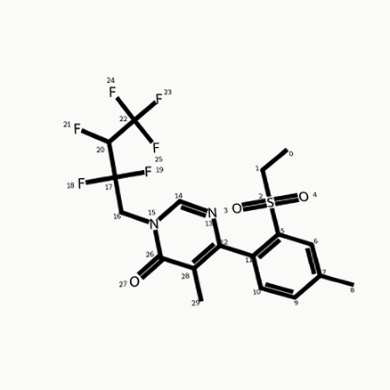 CCS(=O)(=O)c1cc(C)ccc1-c1ncn(CC(F)(F)C(F)C(F)(F)F)c(=O)c1C